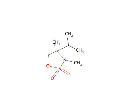 CC(C)[C@]1(C)COS(=O)(=O)N1C